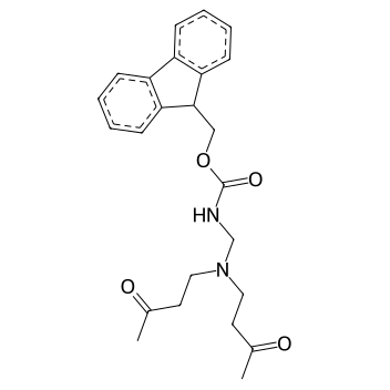 CC(=O)CCN(CCC(C)=O)CNC(=O)OCC1c2ccccc2-c2ccccc21